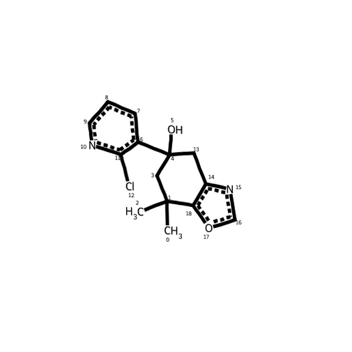 CC1(C)CC(O)(c2cccnc2Cl)Cc2ncoc21